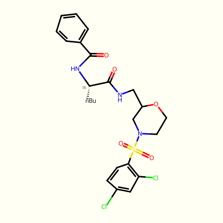 CCCC[C@H](NC(=O)c1ccccc1)C(=O)NCC1CN(S(=O)(=O)c2ccc(Cl)cc2Cl)CCO1